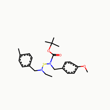 CCN(Cc1ccc(C)cc1)SN(Cc1ccc(OC)cc1)C(=O)OC(C)(C)C